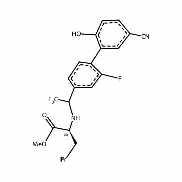 COC(=O)[C@H](CC(C)C)NC(c1ccc(-c2cc(C#N)ccc2O)c(F)c1)C(F)(F)F